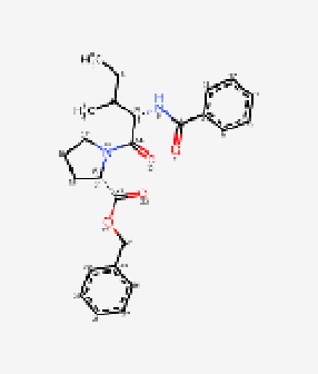 CCC(C)[C@H](NC(=O)c1ccccc1)C(=O)N1CCC[C@H]1C(=O)OCc1ccccc1